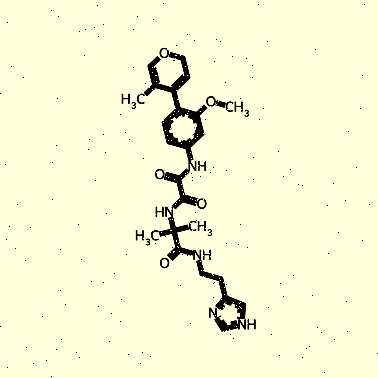 COc1cc(NC(=O)C(=O)NC(C)(C)C(=O)NCCc2c[nH]cn2)ccc1C1=CCOC=C1C